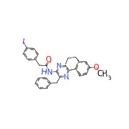 COc1ccc2c(c1)CCc1nc(NC(=O)Cc3ccc(I)cc3)c(Cc3ccccc3)nc1-2